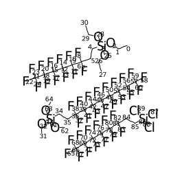 CCO[Si](CCC(F)(F)C(F)(F)C(F)(F)C(F)(F)C(F)(F)C(F)(F)F)(OCC)OCC.CO[Si](CCC(F)(F)C(F)(F)C(F)(F)C(F)(F)C(F)(F)C(F)(F)C(F)(F)C(F)(F)F)(OC)OC.FC(F)(F)C(F)(F)C(F)(F)C(F)(F)C(F)(F)C(F)(F)CC[Si](Cl)(Cl)Cl